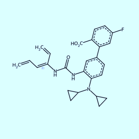 C=C/C=C(\C=C)NC(=O)Nc1cc(-c2cc(F)ccc2C(=O)O)ccc1N(C1CC1)C1CC1